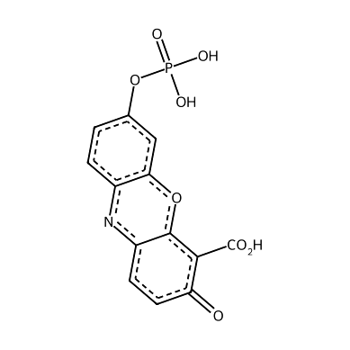 O=C(O)c1c2oc3cc(OP(=O)(O)O)ccc3nc-2ccc1=O